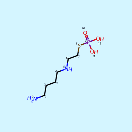 NCCCCNCCSP(=O)(O)O